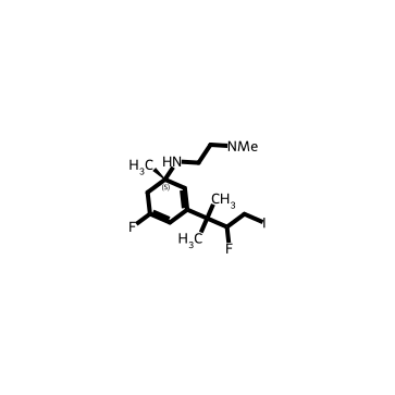 CNCCN[C@]1(C)C=C(C(C)(C)C(F)CI)C=C(F)C1